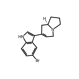 Brc1ccc2[nH]cc(C3=CCN4CCC[C@@H]4C3)c2c1